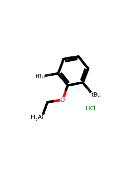 CC(C)(C)c1cccc(C(C)(C)C)c1O[CH2][AlH2].Cl